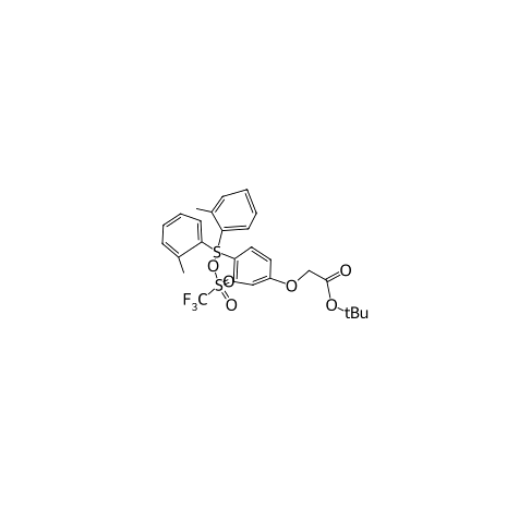 Cc1ccccc1S(OS(=O)(=O)C(F)(F)F)(c1ccc(OCC(=O)OC(C)(C)C)cc1)c1ccccc1C